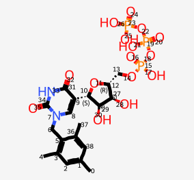 Cc1cc(C)c(Cn2cc([C@@H]3O[C@H](COP(=O)(O)OP(=O)(O)OP(=O)(O)O)[C@@H](O)[C@H]3O)c(=O)[nH]c2=O)c(C)c1